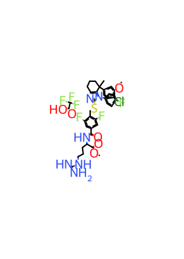 COC(=O)C(CCCNC(=N)N)NC(=O)c1cc(F)c(CSc2nc3c(n2-c2ccc(F)cc2)C(C)(c2ccc(Cl)c(OC)c2)CCC3)c(F)c1.O=C(O)C(F)(F)F